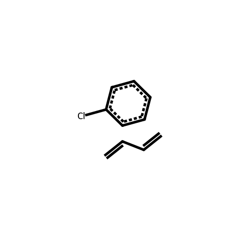 C=CC=C.Clc1ccccc1